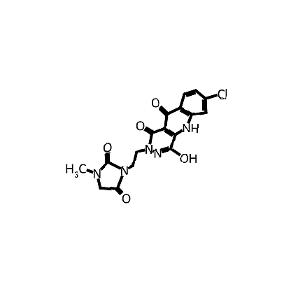 CN1CC(=O)N(CCn2nc(O)c3[nH]c4cc(Cl)ccc4c(=O)c3c2=O)C1=O